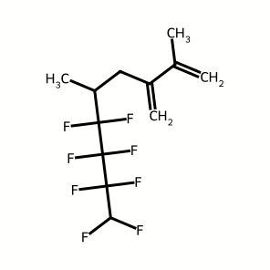 C=C(C)C(=C)CC(C)C(F)(F)C(F)(F)C(F)(F)C(F)F